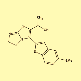 CSc1ccc2sc(C3=C(C(C)O)SC4=NCCN43)cc2c1